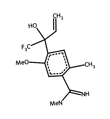 C=CC(O)(c1cc(C)c(C(=N)NC)cc1OC)C(F)(F)F